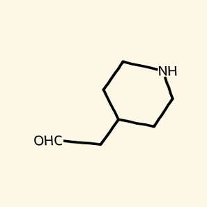 O=CCC1CCNCC1